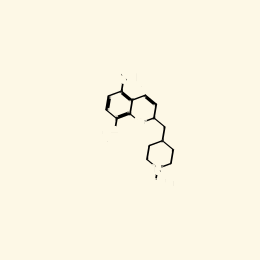 CCCCN1CCC(CC2C=Cc3c(N)ccc(C(=O)O)c3O2)CC1